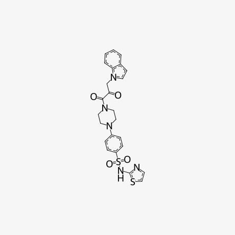 O=C(Cn1ccc2ccccc21)C(=O)N1CCN(c2ccc(S(=O)(=O)Nc3nccs3)cc2)CC1